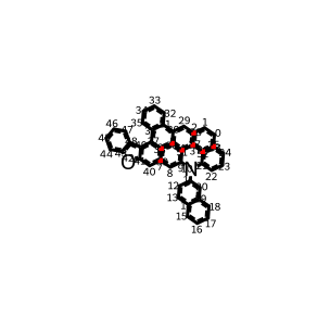 c1ccc(-c2ccccc2N(c2ccc3ccccc3c2)c2ccccc2-c2ccc3c4ccccc4c4c(ccc5oc6ccccc6c54)c3c2)cc1